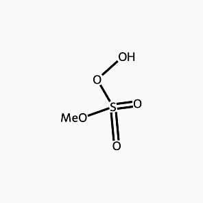 COS(=O)(=O)OO